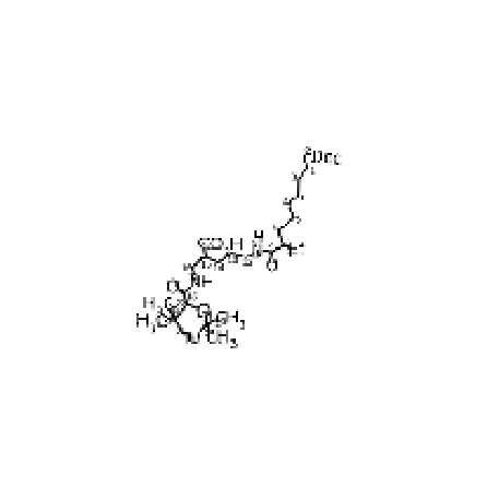 CCCCCCCCCCCCCCCCC(CC)C(=O)NCCCC(CNC(=O)C1OC(C)(C)OCC1(C)C)C(=O)O